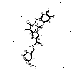 Cc1c(=O)n(Cc2ccc(Cl)c(Cl)c2)c(=O)n2cc(C(=O)NCc3ccnc(N)c3)sc12